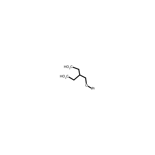 CC(C)OCC(CC(=O)O)CC(=O)O